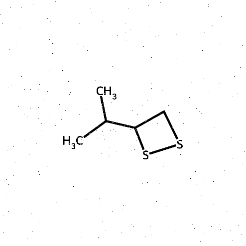 CC(C)C1CSS1